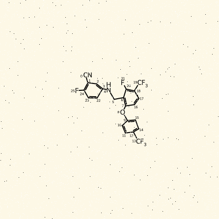 N#Cc1cc(NCc2c(Oc3ccc(C(F)(F)F)cc3)ccc(C(F)(F)F)c2F)ccc1F